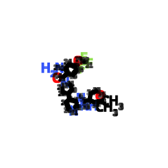 CC1(C)CC(c2nc3c(C4CCN(C(=O)c5ccc(OC(F)(F)F)cc5N)CC4)ccnc3[nH]2)CCO1